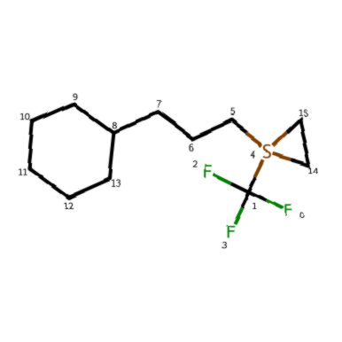 FC(F)(F)S1(CCCC2CCCCC2)CC1